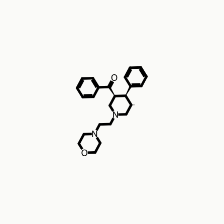 O=C(c1ccccc1)[C@@H]1CN(CCN2CCOCC2)C[CH][C@@H]1c1ccccc1